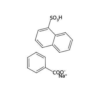 O=C([O-])c1ccccc1.O=S(=O)(O)c1cccc2ccccc12.[Na+]